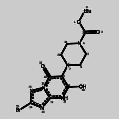 CC(C)(C)OC(=O)N1CCN(c2c(O)[nH]c3nc(Br)nn3c2=O)CC1